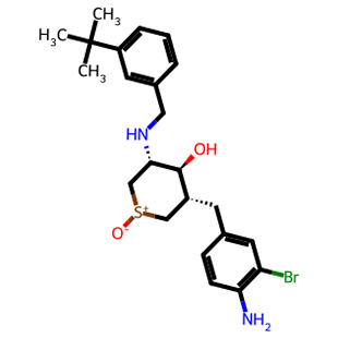 CC(C)(C)c1cccc(CN[C@H]2C[S+]([O-])C[C@@H](Cc3ccc(N)c(Br)c3)[C@@H]2O)c1